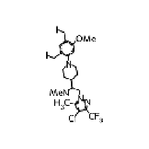 CNC(Cn1nc(C(F)(F)F)c(Cl)c1C)C1CCN(c2cc(OC)c(CI)cc2CI)CC1